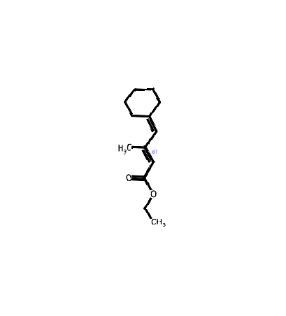 CCOC(=O)/C=C(\C)C=C1CCCCC1